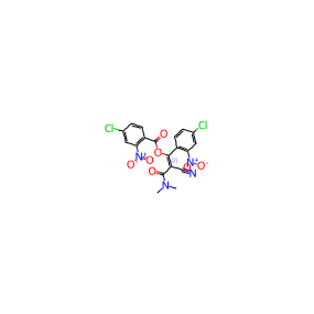 CN(C)C(=O)/C(C#N)=C(\OC(=O)c1ccc(Cl)cc1[N+](=O)[O-])c1ccc(Cl)cc1[N+](=O)[O-]